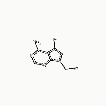 CC(C)Cn1cc(Br)c2c(N)ncnc21